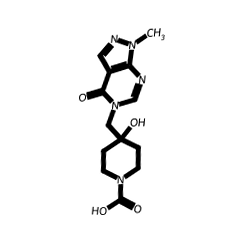 Cn1ncc2c(=O)n(CC3(O)CCN(C(=O)O)CC3)cnc21